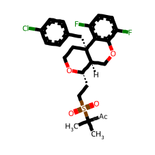 CC(=O)C(C)(C)S(=O)(=O)CC[C@@H]1OCC[C@@]2(Cc3ccc(Cl)cc3)c3c(F)ccc(F)c3OC[C@@H]12